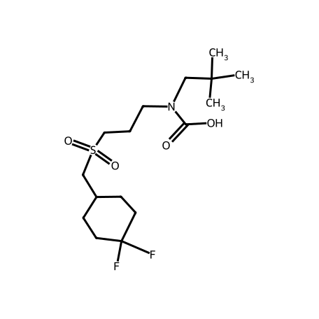 CC(C)(C)CN(CCCS(=O)(=O)CC1CCC(F)(F)CC1)C(=O)O